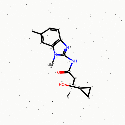 Cc1ccc2nc(NC(=O)C[C@](C)(O)C3CC3)n(C(C)(C)C)c2c1